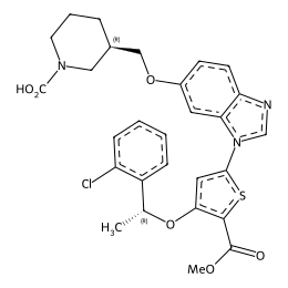 COC(=O)c1sc(-n2cnc3ccc(OC[C@@H]4CCCN(C(=O)O)C4)cc32)cc1O[C@H](C)c1ccccc1Cl